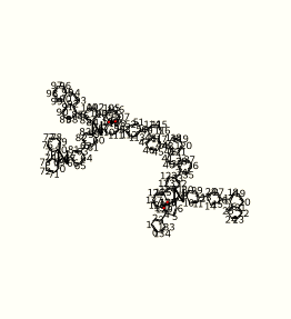 c1ccc(-c2ccc(N(c3ccc(-c4ccc(-c5cccc6ccccc56)cc4)cc3)c3cc(-c4cccc5c4ccc4c(-c6cccc7c(-c8ccc(-c9ccc(N(c%10ccc(-c%11cccc(-n%12c%13ccccc%13c%13ccccc%13%12)c%11)cc%10)c%10cc(-c%11cccc%12c%11ccc%11ccccc%11%12)ccc%10-c%10ccccc%10)cc9)cc8)cccc67)cccc45)ccc3-c3ccccc3)cc2)cc1